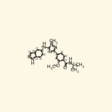 COc1cc(-c2nc(Nc3ccc4[nH]ncc4c3)n(C)n2)ccc1C(=O)NC(C)C